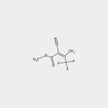 COC(=O)/C(C#N)=C(/C)C(F)(F)F